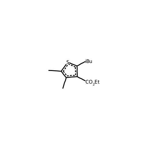 CCOC(=O)c1c(C(C)CC)sc(C)c1C